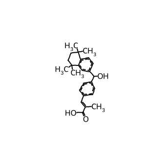 C/C(=C\c1ccc(C(O)c2ccc3c(c2)C(C)(C)CCC3(C)C)cc1)C(=O)O